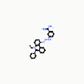 CC[n+]1c(-c2ccccc2)c2ccccc2c2c(N=NNc3cccc(C(=N)N)c3)cccc21